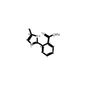 COC(=O)c1ccccc1-c1ncc(C)s1